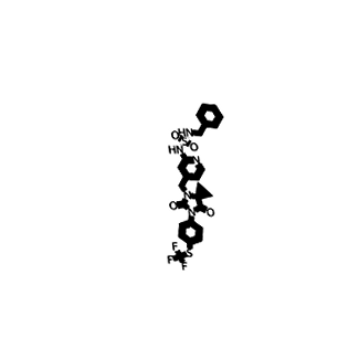 O=C1N(c2ccc(SC(F)(F)F)cc2)C(=O)C2(CC2)N1Cc1ccnc(NS(=O)(=O)NCc2ccccc2)c1